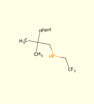 CCCCCC(C)(C)CPCC(F)(F)F